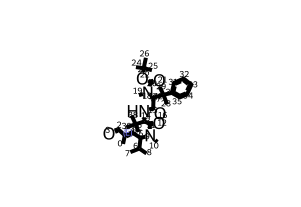 C/C(C=O)=C\C(C(C)C)N(C)C(=O)C(NC(=O)[C@@H](N(C)C(=O)OC(C)(C)C)C(C)(C)c1ccccc1)C(C)(C)C